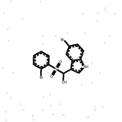 O=S(=O)(c1ccccc1Br)C(O)c1c[nH]c2ccc(Br)cc12